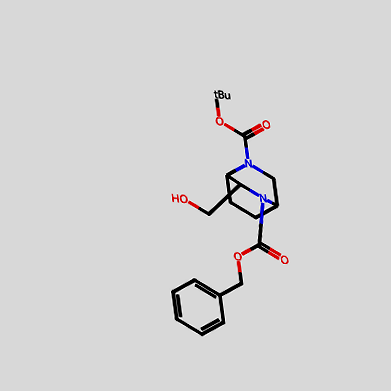 CC(C)(C)OC(=O)N1CC2CCC1C(CO)N2C(=O)OCc1ccccc1